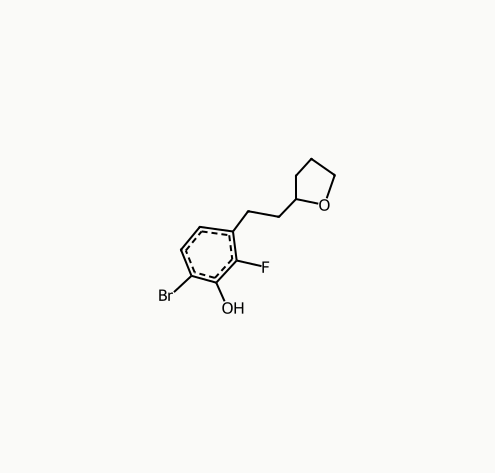 Oc1c(Br)ccc(CCC2CCCO2)c1F